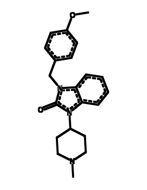 COc1ccc(Cn2c(=O)n(C3CCN(C)CC3)c3ccccc32)cc1